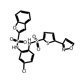 O=S(=O)(Nc1cc(Cl)ccc1NS(=O)(=O)c1ccc(-c2ccon2)s1)c1cc2ccccc2o1